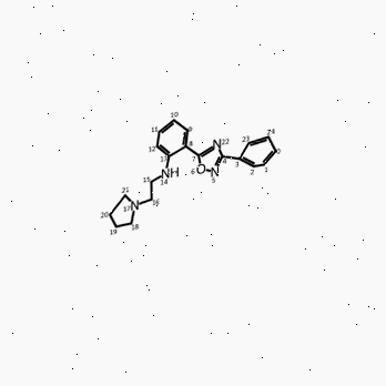 c1ccc(-c2noc(-c3ccccc3NCCN3CCCC3)n2)cc1